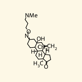 C=C1C[C@@]2(O)C/C(=N\OCCCNC)CC[C@]2(C)[C@H]2CC[C@]3(C)C(=O)CC[C@H]3[C@H]12